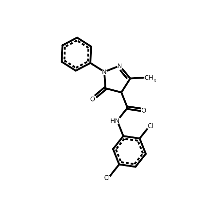 CC1=NN(c2ccccc2)C(=O)C1C(=O)Nc1cc(Cl)ccc1Cl